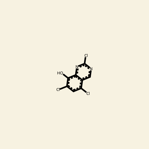 Oc1c(Cl)cc(Cl)c2cnc(Cl)nc12